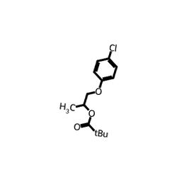 CC(COc1ccc(Cl)cc1)OC(=O)C(C)(C)C